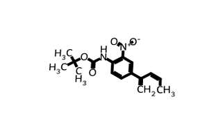 C=C(/C=C\C)c1ccc(NC(=O)OC(C)(C)C)c([N+](=O)[O-])c1